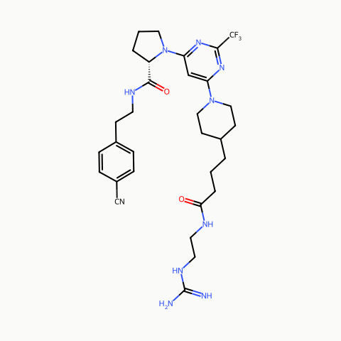 N#Cc1ccc(CCNC(=O)[C@@H]2CCCN2c2cc(N3CCC(CCCC(=O)NCCNC(=N)N)CC3)nc(C(F)(F)F)n2)cc1